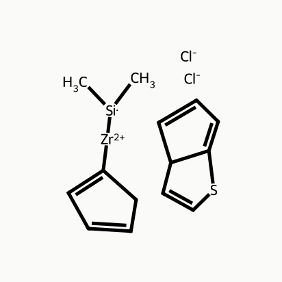 C1=CC2C=CSC2=C1.C[Si](C)[Zr+2][C]1=CC=CC1.[Cl-].[Cl-]